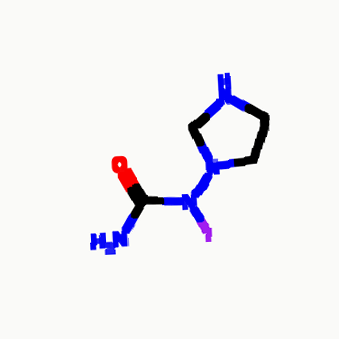 NC(=O)N(I)N1CCNC1